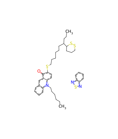 CCCCCCn1c2ccc(SCCCCCCC(CCC)C3CCCSS3)c(=O)c-2cc2ccccc21.c1ccc2nsnc2c1